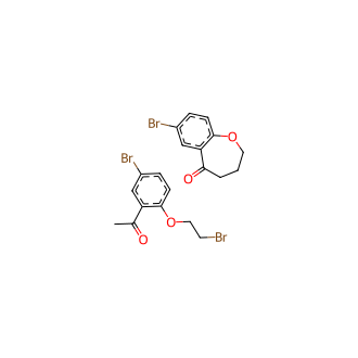 CC(=O)c1cc(Br)ccc1OCCBr.O=C1CCCOc2ccc(Br)cc21